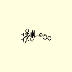 C=C1NC(=O)NC(C(=O)NCCCOc2ccc(OC)cc2)=C1N